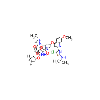 CCC1C[C@@]1(C=O)NC(=O)C1C[C@@H](Oc2cc(-c3nc(NC(C)C)sc3Cl)nc3cc(OC)ccc23)CN1C(=O)C(NC(=O)O[C@@H]1C[C@@H]2C[C@@H]2C1)C(C)(C)C